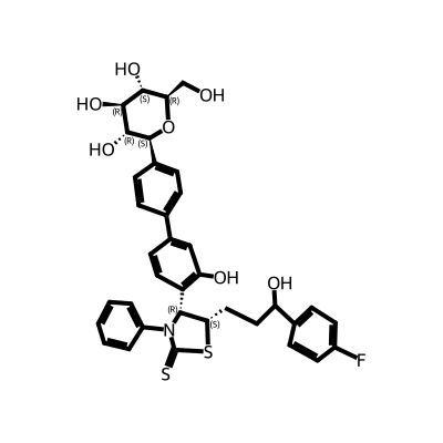 OC[C@H]1O[C@@H](c2ccc(-c3ccc([C@@H]4[C@H](CCC(O)c5ccc(F)cc5)SC(=S)N4c4ccccc4)c(O)c3)cc2)[C@H](O)[C@@H](O)[C@@H]1O